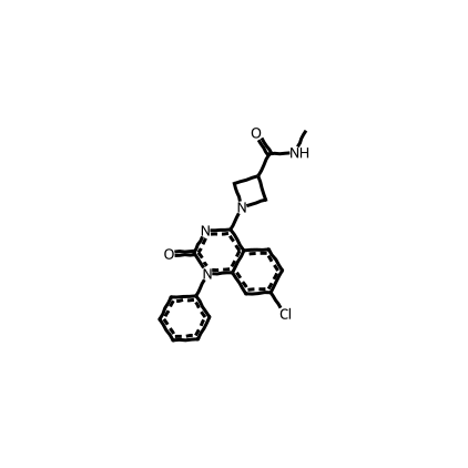 CNC(=O)C1CN(c2nc(=O)n(-c3ccccc3)c3cc(Cl)ccc23)C1